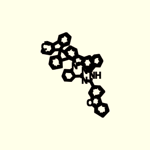 C1=CCC(C2=NC(c3ccc4c(c3)oc3ccccc34)NC(c3ccccc3)=N2)C(n2c3ccccc3c3ccc4c(c32)-c2ccccc2C42c3ccccc3-c3ccccc32)=C1